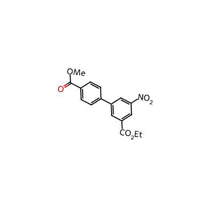 CCOC(=O)c1cc(-c2ccc(C(=O)OC)cc2)cc([N+](=O)[O-])c1